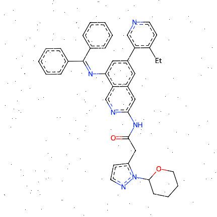 CCc1ccncc1-c1cc(N=C(c2ccccc2)c2ccccc2)c2cnc(NC(=O)Cc3ccnn3C3CCCCO3)cc2c1